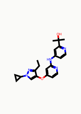 CCc1nn(C2CC2)cc1Oc1ccnc(Nc2ccnc(C(C)(C)O)c2)c1